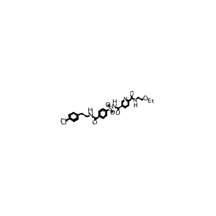 CCOCCNC(=O)c1ccc(C(=O)NS(=O)(=O)c2ccc(C(=O)NCCc3ccc(Cl)cc3)cc2)cn1